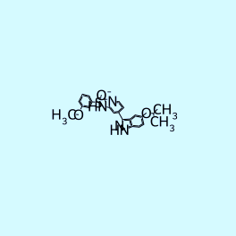 COc1cccc([S+]([O-])Nc2cc(-c3n[nH]c4ccc(OC(C)C)cc34)ccn2)c1